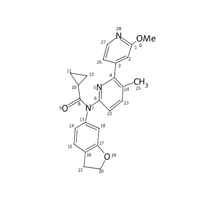 COc1cc(-c2nc(N(C(=O)C3CC3)c3ccc4c(c3)OCC4)ccc2C)ccn1